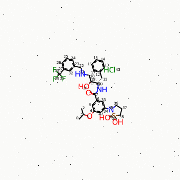 CC(C)Oc1cc(C(=O)N[C@@H](Cc2ccccc2)[C@@H](O)CNCc2cccc(C(F)(F)F)c2)cc(N2CCCS2(O)O)c1.Cl